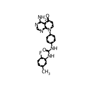 Cc1ccc(F)c(NC(=O)Nc2ccc(-n3ccc(=O)c4c(N)ncnc43)cc2)c1